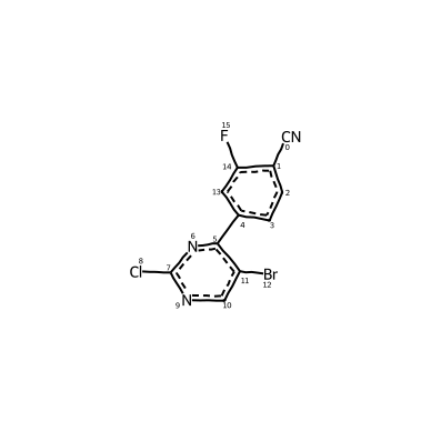 N#Cc1ccc(-c2nc(Cl)ncc2Br)cc1F